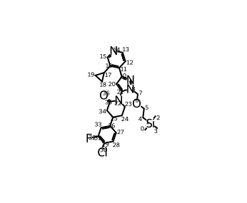 C[Si](C)(C)CCOCn1nc(-c2ccncc2C2CC2)cc1N1CCC(c2ccc(Cl)c(F)c2)CC1=O